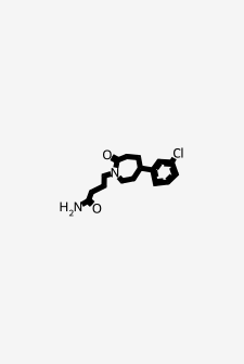 NC(=O)CCCN1CCC(c2cccc(Cl)c2)CCC1=O